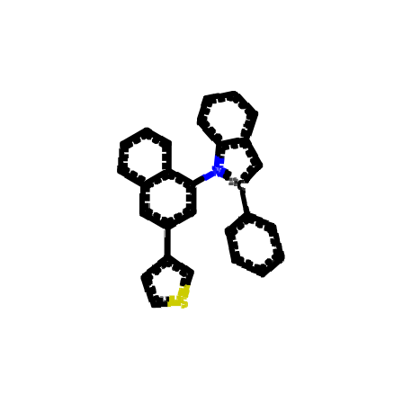 c1ccc(-[13c]2cc3ccccc3n2-c2cc(-c3ccsc3)cc3ccccc23)cc1